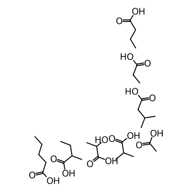 CC(=O)O.CC(C)C(=O)O.CC(C)CC(=O)O.CC(O)C(=O)O.CCC(=O)O.CCC(C)C(=O)O.CCCC(=O)O.CCCCC(=O)O